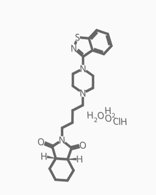 Cl.O.O.O=C1[C@H]2CCCC[C@H]2C(=O)N1CCCCN1CCN(c2nsc3ccccc23)CC1